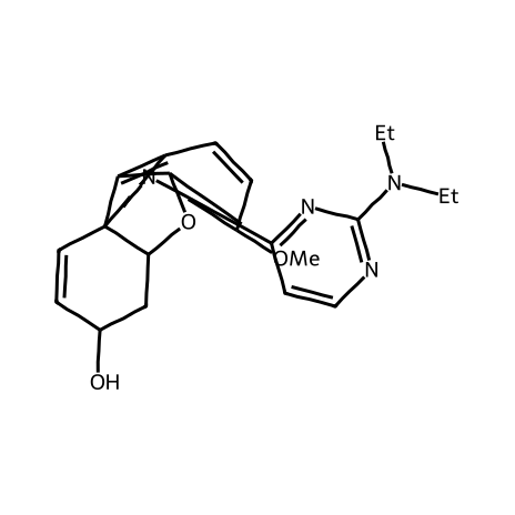 CCN(CC)c1nccc(N2CCC34C=CC(O)CC3Oc3c(OC)ccc(c34)C2)n1